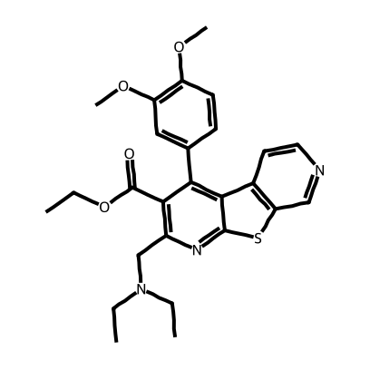 CCOC(=O)c1c(CN(CC)CC)nc2sc3cnccc3c2c1-c1ccc(OC)c(OC)c1